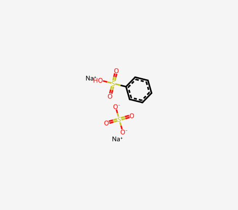 O=S(=O)(O)c1ccccc1.O=S(=O)([O-])[O-].[Na+].[Na+]